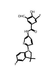 CC1(C)CN(c2ccc(NC(=O)c3cc(F)c(O)c(C=O)c3)cn2)c2ccc(F)cc21